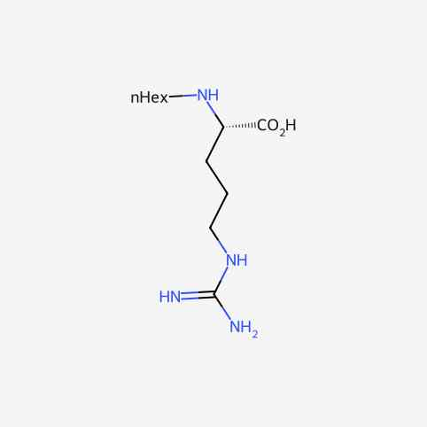 CCCCCCN[C@@H](CCCNC(=N)N)C(=O)O